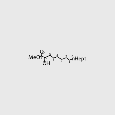 CCCCCCCCCCCCCC(O)C(=O)OC